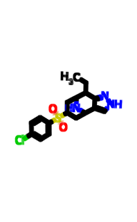 CCC1c2n[nH]cc2C2CC(S(=O)(=O)c3ccc(Cl)cc3)CC1N2